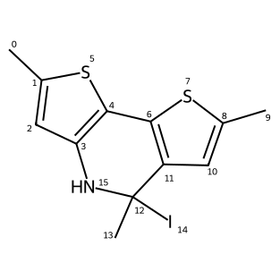 Cc1cc2c(s1)-c1sc(C)cc1C(C)(I)N2